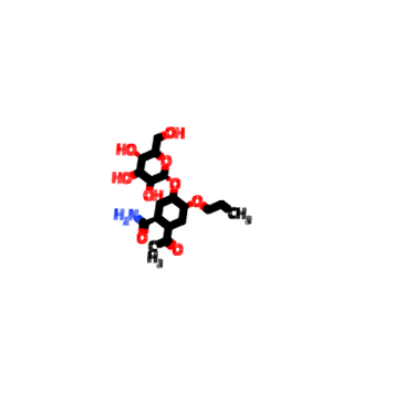 CCCO[C@H]1CC(C(C)=O)[C@@H](C(N)=O)CC1O[C@H]1OC(CO)[C@@H](O)C(O)C1O